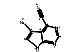 N#Cc1ncnc2[nH]cc(Br)c12